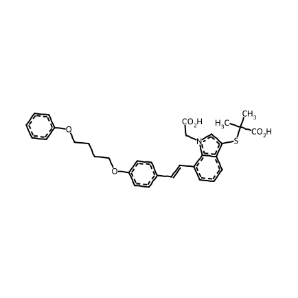 CC(C)(Sc1cn(CC(=O)O)c2c(C=Cc3ccc(OCCCCOc4ccccc4)cc3)cccc12)C(=O)O